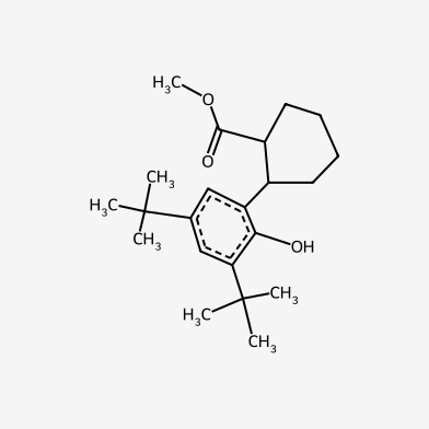 COC(=O)C1CCCCC1c1cc(C(C)(C)C)cc(C(C)(C)C)c1O